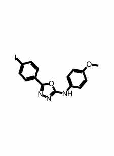 COc1ccc(Nc2nnc(-c3ccc(I)cc3)o2)cc1